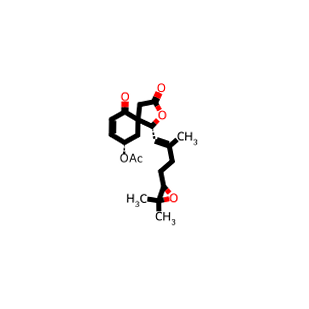 CC(=O)O[C@@H]1C=CC(=O)C2(CC(=O)O[C@@H]2/C=C(\C)CCC2OC2(C)C)C1